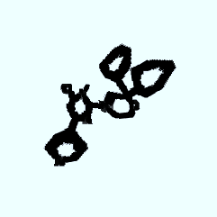 Cn1c(N2CCOC(c3ccccc3)(c3ccccc3)C2)nc(-c2ccncc2)cc1=O